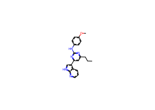 CCCc1cc(-c2c[nH]c3ncccc23)nc(Nc2ccc(OC)cc2)n1